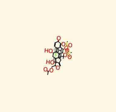 C=C1C[C@H]2[C@@H]3C(OS(C)(=O)=O)C(OS(C)(=O)=O)C4=CC(=O)C=C[C@]4(C)[C@@]3(F)C(O)C[C@]2(C)[C@@]1(O)C(=O)COC(C)=O